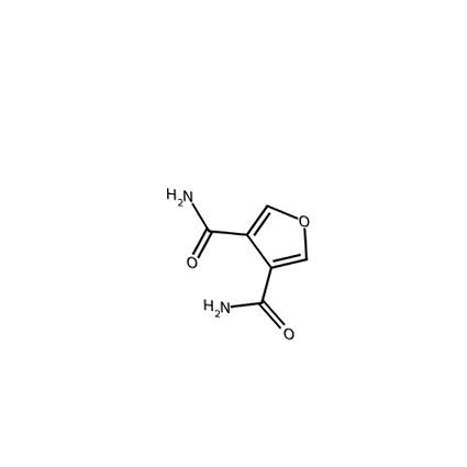 NC(=O)c1cocc1C(N)=O